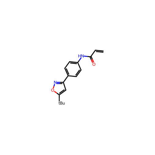 C=CC(=O)Nc1ccc(-c2cc(C(C)(C)C)on2)cc1